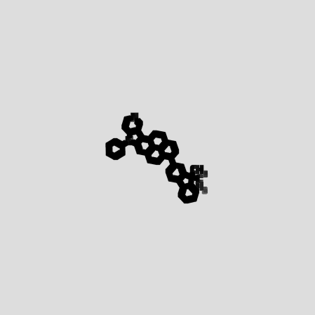 CC1(C)c2ccccc2-c2ccc(-c3ccc4ccc5c6c(ccc3c46)cc3c5c4cnccc4n3-c3ccccc3)cc21